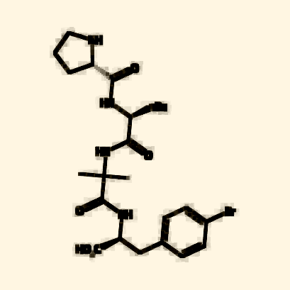 CCCC[C@H](NC(=O)[C@@H]1CCCN1)C(=O)NC(C)(C)C(=O)N[C@@H](Cc1ccc(Br)cc1)C(=O)O